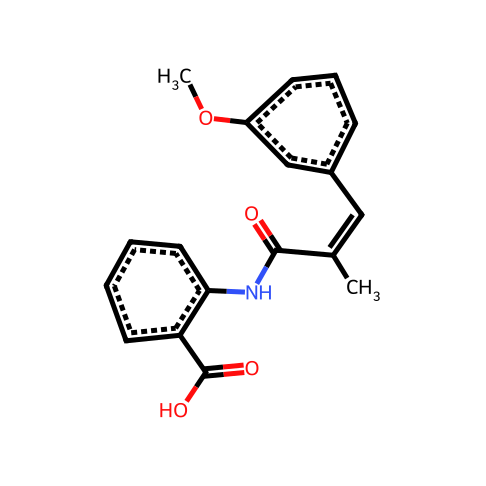 COc1cccc(C=C(C)C(=O)Nc2ccccc2C(=O)O)c1